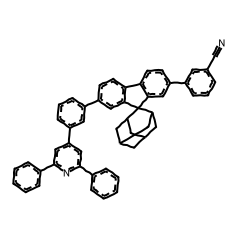 N#Cc1cccc(-c2ccc3c(c2)C2(c4cc(-c5cccc(-c6cc(-c7ccccc7)nc(-c7ccccc7)c6)c5)ccc4-3)C3CC4CC(C3)CC2C4)c1